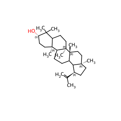 C=C(C)[C@@H]1CC[C@]2(C)CC[C@]3(C)C(CCC4[C@@]5(C)CC[C@H](O)C(C)(C)C5CC[C@]43C)C12